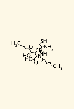 CCCCCON(NCC(N)CS)[C@@H](C(=O)O)[C@H](C)C(O)C(=O)CCCC